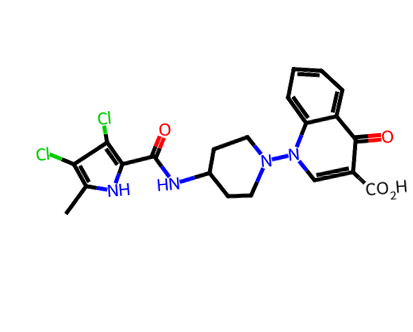 Cc1[nH]c(C(=O)NC2CCN(n3cc(C(=O)O)c(=O)c4ccccc43)CC2)c(Cl)c1Cl